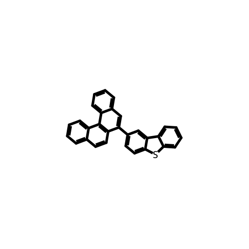 c1ccc2c(c1)ccc1c(-c3ccc4sc5ccccc5c4c3)cc3ccccc3c12